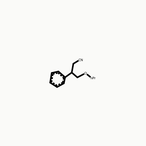 CCCOCC(CC#N)c1ccccc1